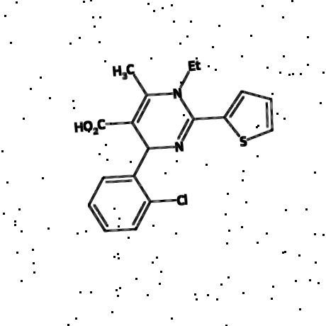 CCN1C(c2cccs2)=NC(c2ccccc2Cl)C(C(=O)O)=C1C